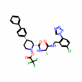 C[C@H](NC(=O)[C@H]1C[C@@H](c2ccc(-c3ccccc3)cc2)CCN1OC(=O)C(F)(F)F)C(=O)NCc1cc(Cl)ccc1-n1cnnn1